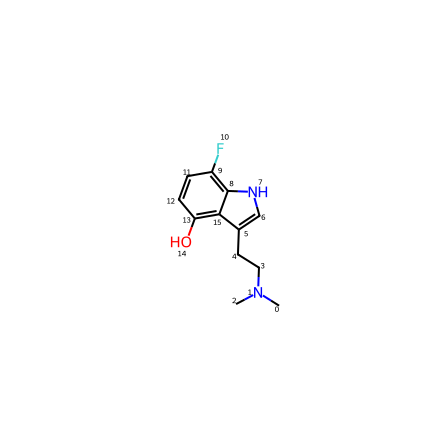 CN(C)CCc1c[nH]c2c(F)ccc(O)c12